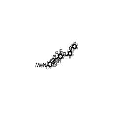 CNCc1ccc(S(=O)(=O)NC(=O)c2ccc(OCc3cccc(Oc4ccccc4)c3)c(F)c2F)cc1